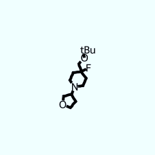 CC(C)(C)OCC1(F)CCN(C2CCOC2)CC1